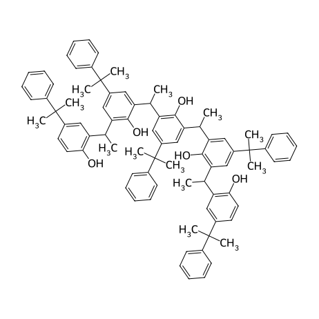 CC(c1cc(C(C)(C)c2ccccc2)ccc1O)c1cc(C(C)(C)c2ccccc2)cc(C(C)c2cc(C(C)(C)c3ccccc3)cc(C(C)c3cc(C(C)(C)c4ccccc4)cc(C(C)c4cc(C(C)(C)c5ccccc5)ccc4O)c3O)c2O)c1O